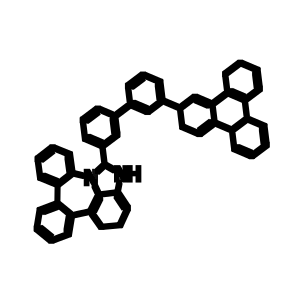 C1=CC2C3=CCC(c4cccc(-c5cccc(C6NC7=CCCC8=C7N6c6ccccc6-c6ccccc68)c5)c4)C=C3C3=C(C=CCC3)C2C=C1